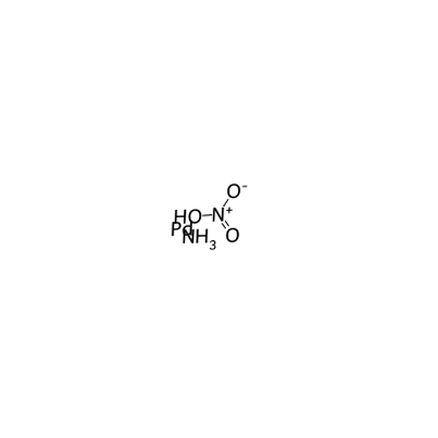 N.O=[N+]([O-])O.[Pd]